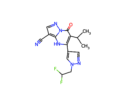 CC(C)c1c(-c2cnn(CC(F)F)c2)[nH]c2c(C#N)cnn2c1=O